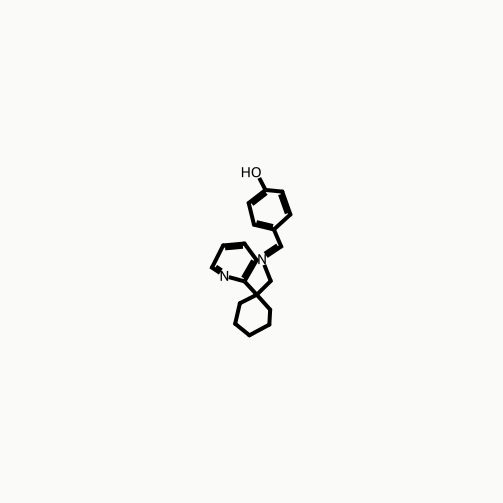 Oc1ccc(C=NCC2(c3ccccn3)CCCCC2)cc1